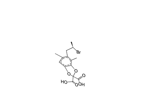 Cc1cc2c(c(C)c1C[C@@H](C)Br)OC(C(=O)O)(C(=O)O)O2